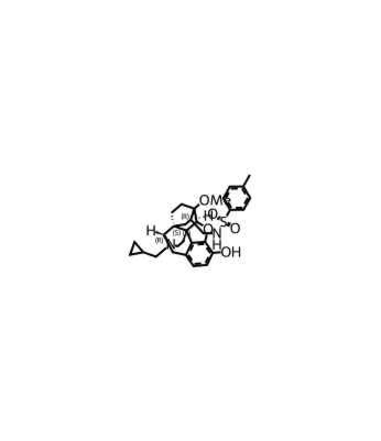 COC12CC[C@@]3(C[C@@H]1CNS(=O)(=O)c1ccc(C)cc1)[C@H]1Cc4ccc(O)c5c4[C@@]3(CCN1CC1CC1)C2O5